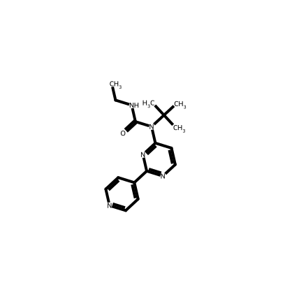 CCNC(=O)N(c1ccnc(-c2ccncc2)n1)C(C)(C)C